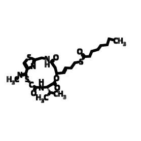 CCCCCCCC(=O)SCC/C=C/C1CC(=O)NCc2nc(cs2)/C(=N/C)SCC(=O)N[C@@H](C(C)C)C(=O)O1